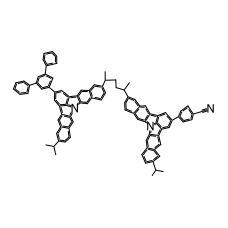 CC(C)c1ccc2cc3c(cc2c1)c1cc(-c2ccc(C#N)cc2)cc2c4cc5cc(C(C)CCC(C)c6ccc7cc8c(cc7c6)c6cc(-c7cc(-c9ccccc9)cc(-c9ccccc9)c7)cc7c9cc%10cc(C(C)C)ccc%10cc9n8c76)ccc5cc4n3c12